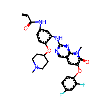 C=CC(=O)Nc1ccc(OC2CCN(C)CC2)c(Nc2ncc3cc(Oc4ccc(F)cc4F)c(=O)n(C)c3n2)c1